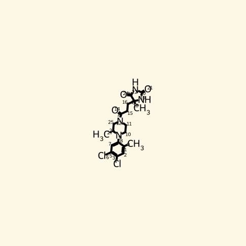 Cc1cc(Cl)c(Cl)cc1N1CCN(C(=O)CCC2(C)NC(=O)NC2=O)C[C@@H]1C